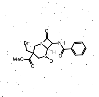 COC(=O)C1(CBr)CN2C(=O)C(NC(=O)c3ccccc3)[C@H]2[S+]([O-])C1